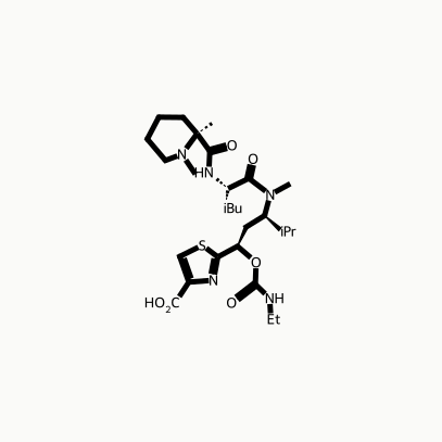 CCNC(=O)O[C@H](C[C@H](C(C)C)N(C)C(=O)[C@@H](NC(=O)[C@]1(C)CCCCN1C)[C@@H](C)CC)c1nc(C(=O)O)cs1